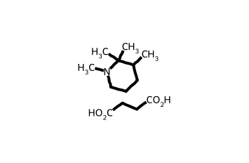 CC1CCCN(C)C1(C)C.O=C(O)CCC(=O)O